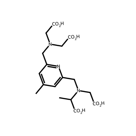 Cc1cc(CN(CC(=O)O)CC(=O)O)nc(CN(CC(=O)O)C(C)C(=O)O)c1